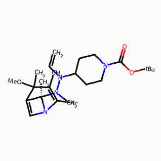 C=CN(C1CCN(C(=O)OC(C)(C)C)CC1)N(C)[C@]1(C)C2=CN1C(C(C)=O)=C(C)C2(C)OC